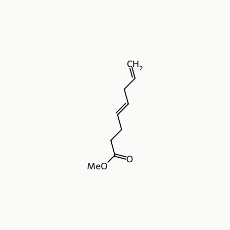 C=CC/C=C/CCC(=O)OC